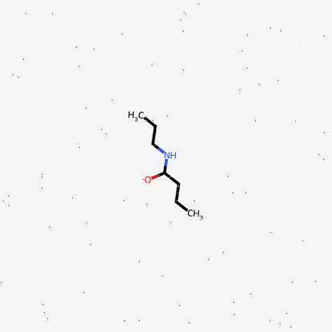 CCCNC([O])CCC